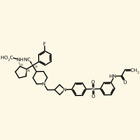 C=CC(=O)Nc1cccc(S(=O)(=O)c2ccc(N3CC(CN4CCC([C@@](C#N)(c5cccc(F)c5)[C@H]5CCC[C@@H]5NC(=O)O)CC4)C3)cc2)c1